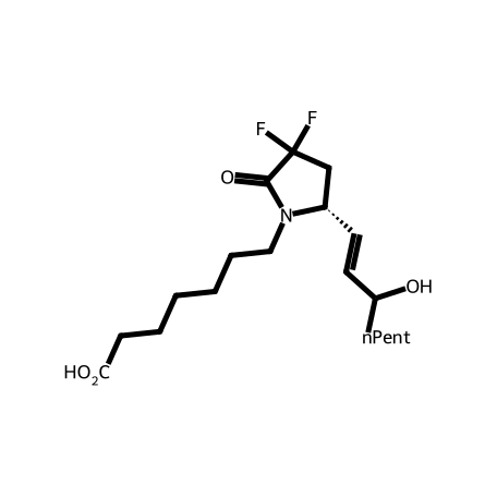 CCCCCC(O)C=C[C@H]1CC(F)(F)C(=O)N1CCCCCCC(=O)O